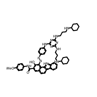 COc1ccc(NC(=O)c2cc3ccc4c5ccccc5[nH]c4c3c(/N=N/c3ccc(Nc4nc(NCCCNC5CCCCC5)nc(NCCCNC5CCCCC5)n4)cc3)c2O)cc1